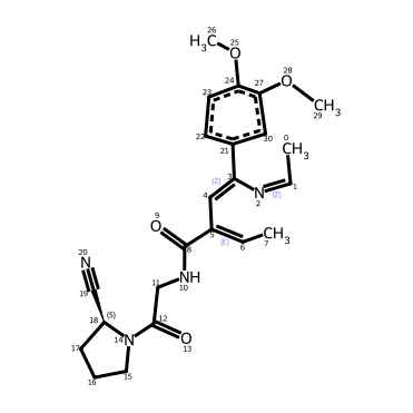 C\C=N/C(=C\C(=C/C)C(=O)NCC(=O)N1CCC[C@H]1C#N)c1ccc(OC)c(OC)c1